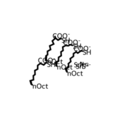 CCCCCCCC/C=C\CCCCCCC(CCS)C(=O)[O-].CCCCCCCC/C=C\CCCCCCC(CCS)C(=O)[O-].CCCCCCCC/C=C\CCCCCCC(CCS)C(=O)[O-].CCCCCCCC/C=C\CCCCCCC(CCS)C(=O)[O-].[CH3][Sn+3].[CH3][Sn+3].[S-2]